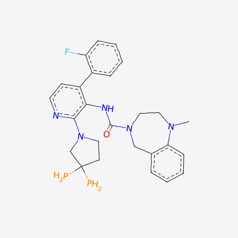 CN1CCN(C(=O)Nc2c(-c3ccccc3F)ccnc2N2CCC(P)(P)C2)Cc2ccccc21